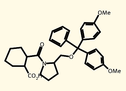 COc1ccc(C(OCC2CCCN2C(=O)C2CCCCC2C(=O)O)(c2ccccc2)c2ccc(OC)cc2)cc1